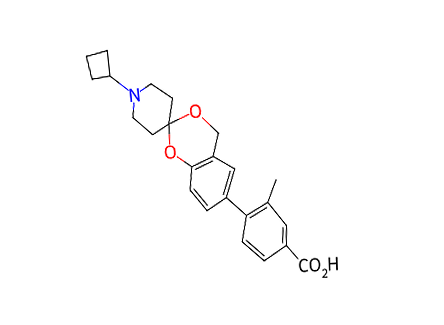 Cc1cc(C(=O)O)ccc1-c1ccc2c(c1)COC1(CCN(C3CCC3)CC1)O2